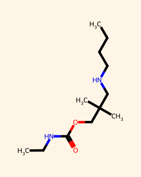 CCCCNCC(C)(C)COC(=O)NCC